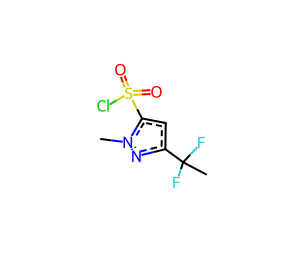 Cn1nc(C(C)(F)F)cc1S(=O)(=O)Cl